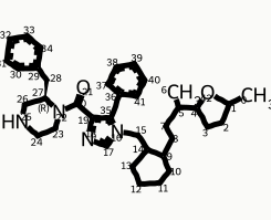 CC1CCC(C(C)CCC2CCCCC2Cn2cnc(C(=O)N3CCNC[C@H]3Cc3ccccc3)c2-c2ccccc2)O1